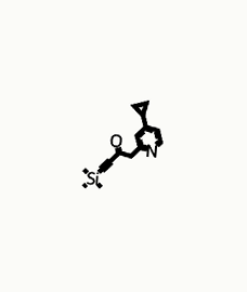 C[Si](C)(C)C#CC(=O)Cc1cc(C2CC2)ccn1